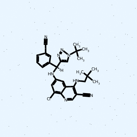 [2H][C@](Nc1cc(Cl)c2ncc(C#N)c(NCC(C)(C)C)c2c1)(c1cccc(C#N)c1)c1cn(C(C)(C)C)nn1